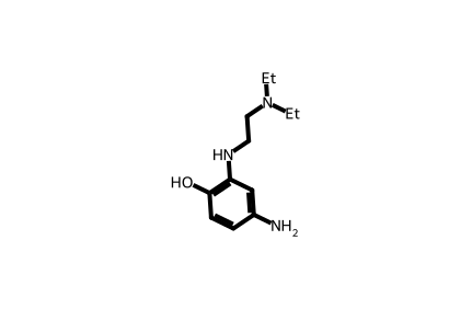 CCN(CC)CCNc1cc(N)ccc1O